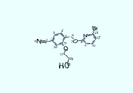 N#Cc1ccc(COc2cccc(Br)n2)c(OCCO)c1